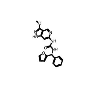 COc1n[nH]c2cc(NC(=O)N[C@@H](c3ccccc3)c3ccco3)ncc12